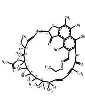 CCO/N=C/c1c2c(O)c3c(O)c(C)c4c(c3c1O)C(=O)[C@@](C)(O/C=C/[C@H](OC)[C@@H](C)[C@@H](OC(C)=O)[C@H](C)[C@H](O)[C@H](C)[C@@H](O)[C@@H](C)/C=C/C=C(/C)C(=O)N2)O4